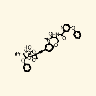 CC(C)[C@H](NS(=O)(=O)OC1(C#Cc2ccc3c(c2)N(C)C(=O)[C@@H](NC(=O)c2cc(Oc4ccccc4)ccn2)CO3)COC1)C(=O)Oc1ccccc1